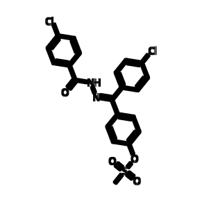 CS(=O)(=O)Oc1ccc(C(=NNC(=O)c2ccc(Cl)cc2)c2ccc(Cl)cc2)cc1